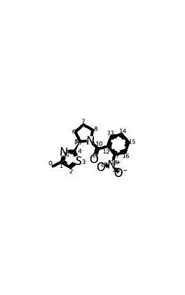 Cc1csc([C@H]2CCCN2C(=O)c2ccccc2[N+](=O)[O-])n1